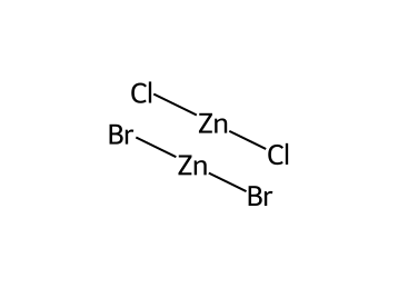 [Br][Zn][Br].[Cl][Zn][Cl]